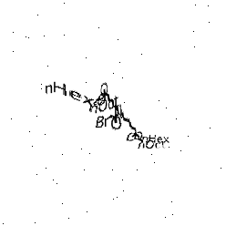 CCCCCCCCC(CCCCCC)COC(=O)CCCCCN(CCCCCC(=O)OCC(CCCCCC)CCCCCCCC)C(=O)CBr